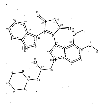 COc1ccc2c(c(C3=C(c4c[nH]c5ccccc45)C(=O)NC3=O)cn2CC(O)CN2CCCCC2)c1OC